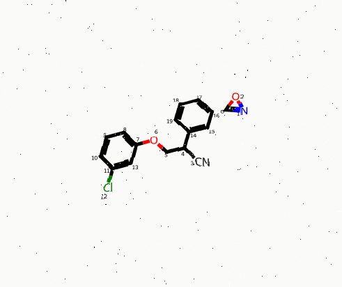 C1=NO1.N#CC(COc1cccc(Cl)c1)c1ccccc1